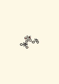 c1ccc(-c2nc(-c3ccccc3)nc(-c3ccc4c(c3)-c3cc(-c5cccc(-c6nccc7ccccc67)c5)ccc3C43c4ccccc4Sc4ccccc43)n2)cc1